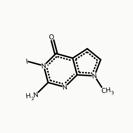 Cn1ccc2c(=O)n(I)c(N)nc21